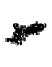 C[C@]12C=CC(=O)C=C1CC[C@@H]1[C@@H]2C(=O)C[C@@]2(C)[C@H]1CC[C@]2(O)C(=O)COC1(CO)O[C@H](CO)[C@@H](O[C@@H]2O[C@H](CO)[C@H](O)[C@H](O)[C@H]2O)[C@@H]1O